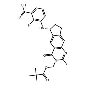 Cc1nc2cc3c(cc2c(=O)n1COC(=O)C(C)(C)C)[C@H](Nc1cccc(C(=O)O)c1F)CC3